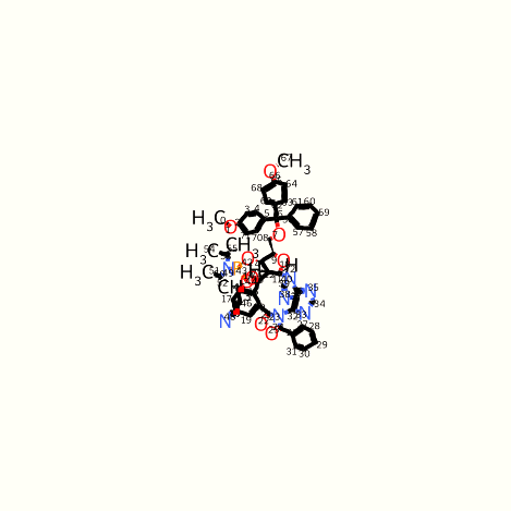 COc1ccc(C(OC[C@H]2O[C@@H]3[C@H](C(=O)c4ccccc4C(=O)N(C(=O)c4ccccc4)c4ncnc5c4ncn53)[C@@H]2OP(OCCC#N)N(C(C)C)C(C)C)(c2ccccc2)c2ccc(OC)cc2)cc1